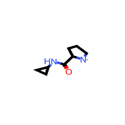 O=C(NC1CC1)C1CCC[N]1